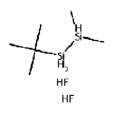 C[SiH](C)[SiH2]C(C)(C)C.F.F